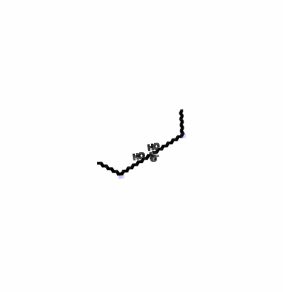 CCCCCCCC/C=C\CCCCCCCCC(O)CC[S+]([O-])CCC(O)CCCCCCCC/C=C\CCCCCCCC